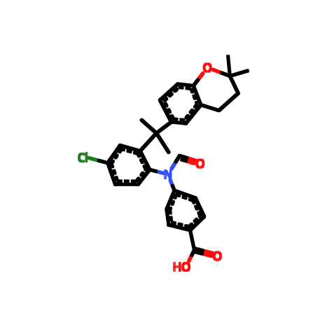 CC1(C)CCc2cc(C(C)(C)c3cc(Cl)ccc3N(C=O)c3ccc(C(=O)O)cc3)ccc2O1